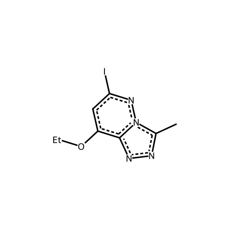 CCOc1cc(I)nn2c(C)nnc12